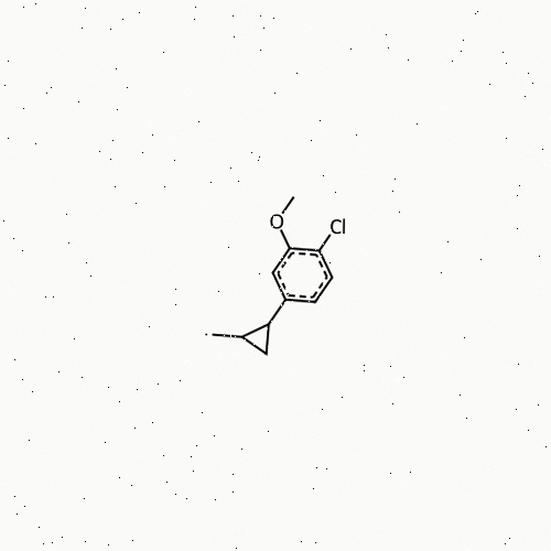 [CH2]C1CC1c1ccc(Cl)c(OC)c1